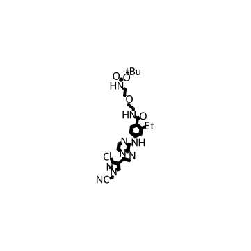 CCc1cc(Nc2nccn3c(-c4cn(CC#N)nc4Cl)cnc23)ccc1C(=O)NCCOCCNC(=O)OC(C)(C)C